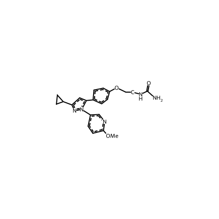 COc1ccc(-n2nc(C3CC3)cc2-c2ccc(OCCNC(N)=O)cc2)cn1